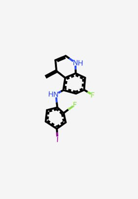 C=C1C=CNc2cc(F)cc(Nc3ccc(I)cc3F)c21